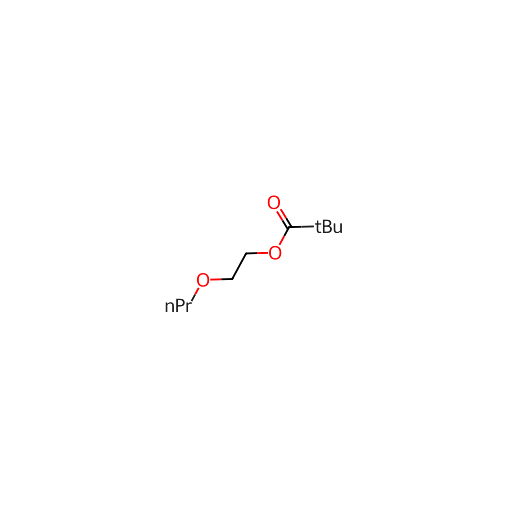 CCCOCCOC(=O)C(C)(C)C